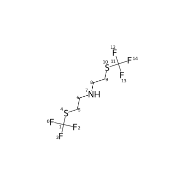 FC(F)(F)SCCNCCSC(F)(F)F